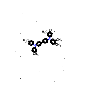 Cc1ccc(N(c2ccc(C)cc2)c2ccc(-c3ccc(N(c4ccc(C)c(C)c4)c4ccc(C)c(C)c4)cc3)cc2)cc1